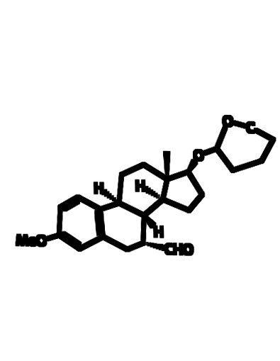 COc1ccc2c(c1)C[C@@H](C=O)[C@@H]1[C@@H]2CC[C@]2(C)[C@@H](OC3CCCCO3)CC[C@@H]12